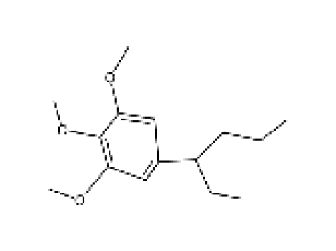 CCCC(CC)c1cc(OC)c(OC)c(OC)c1